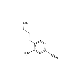 CCCCc1ccc(C#N)cc1N